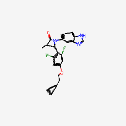 CC1C(=O)N(c2ccc3[nH]cnc3c2)C1c1c(F)cc(OCCC2CC2)cc1F